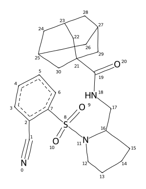 N#Cc1ccccc1S(=O)(=O)N1CCCCC1CNC(=O)C12CC3CC(CC(C3)C1)C2